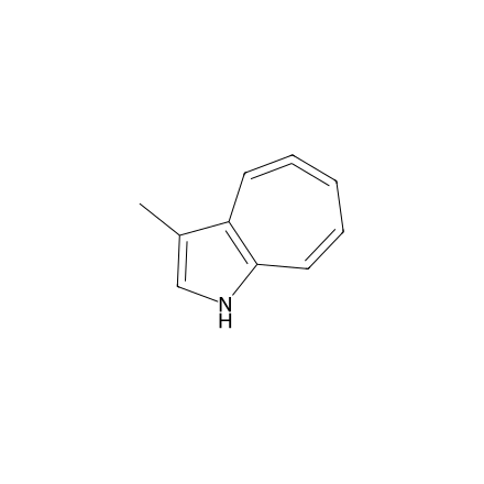 Cc1c[nH]c2c1C=C=CC=C2